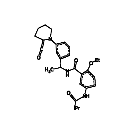 CCOc1ccc(NC(=O)C(C)C)cc1C(=O)NC(C)c1cccc(N2CCCCC2=C=O)c1